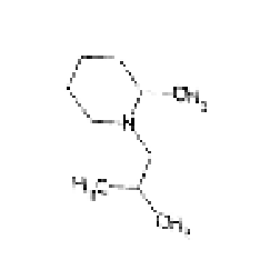 CC(C)CN1CCCCC1C